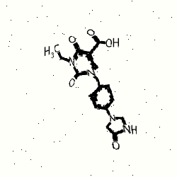 CCn1c(=O)c(C(=O)O)cn(-c2ccc(N3CNC(=O)C3)cc2)c1=O